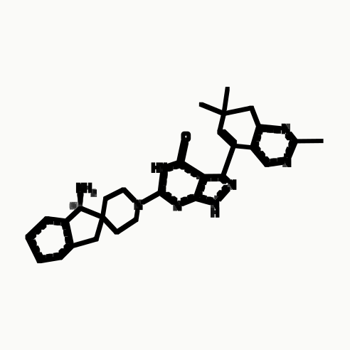 Cc1ncc2c(n1)CC(C)(C)C=C2c1n[nH]c2nc(N3CCC4(CC3)Cc3ccccc3[C@H]4N)[nH]c(=O)c12